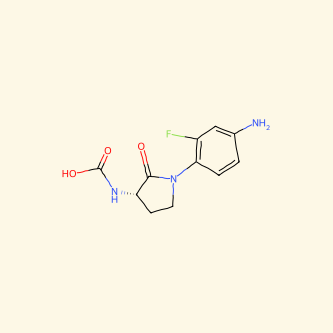 Nc1ccc(N2CC[C@H](NC(=O)O)C2=O)c(F)c1